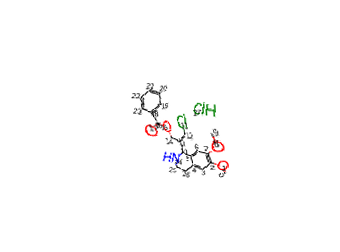 COc1cc2c(cc1OC)C(C(CCl)COC(=O)c1ccccc1)NCC2.Cl